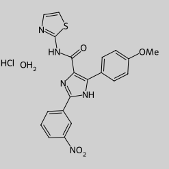 COc1ccc(-c2[nH]c(-c3cccc([N+](=O)[O-])c3)nc2C(=O)Nc2nccs2)cc1.Cl.O